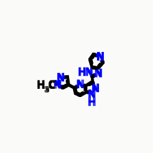 Cn1cc(-c2ccc3[nH]nc(-c4nc5cnccc5[nH]4)c3n2)cn1